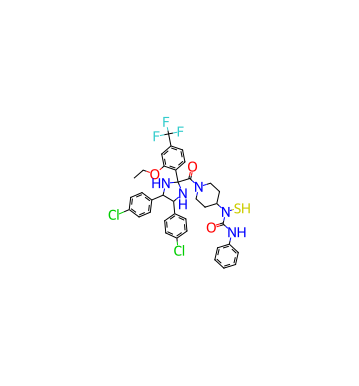 CCOc1cc(C(F)(F)F)ccc1C1(C(=O)N2CCC(N(S)C(=O)Nc3ccccc3)CC2)NC(c2ccc(Cl)cc2)C(c2ccc(Cl)cc2)N1